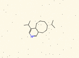 CC(C)C1=CN=CC2CC[C@@H](C(C)C)CCCC12